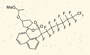 COC(C)OC1CCS(OS(=O)(=O)C(F)(F)C(F)(F)C(F)(F)C(F)(F)C(F)(F)C(F)(F)C(F)(F)C(F)(F)F)(c2cccc3ccccc23)C1